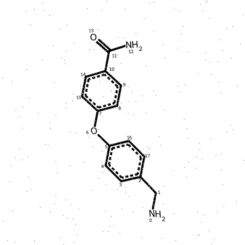 NCc1ccc(Oc2ccc(C(N)=O)cc2)cc1